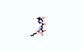 CCCCOC(=O)NC(CCC(=O)N1CCC2(CC2)C(O)C1)C(=O)OC